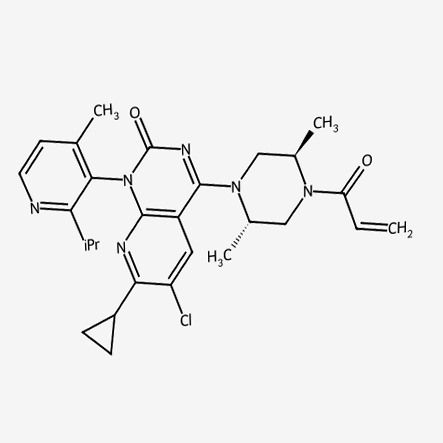 C=CC(=O)N1C[C@H](C)N(c2nc(=O)n(-c3c(C)ccnc3C(C)C)c3nc(C4CC4)c(Cl)cc23)C[C@H]1C